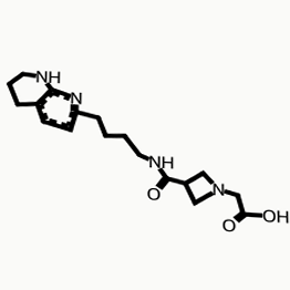 O=C(O)CN1CC(C(=O)NCCCCc2ccc3c(n2)NCCC3)C1